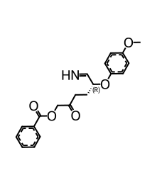 COc1ccc(O[C@@H](C=N)CCC(=O)COC(=O)c2ccccc2)cc1